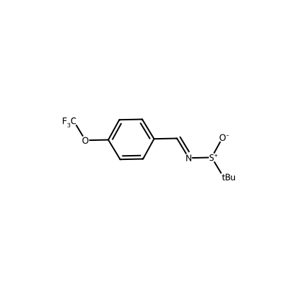 CC(C)(C)[S+]([O-])N=Cc1ccc(OC(F)(F)F)cc1